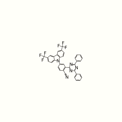 N#Cc1ccc(-n2c3ccc(C(F)(F)F)cc3c3cc(C(F)(F)F)ccc32)cc1-c1nc(-c2ccccc2)nc(-c2ccccc2)n1